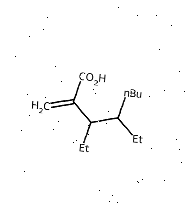 C=C(C(=O)O)C(CC)C(CC)CCCC